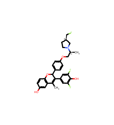 CC1=C(c2cc(F)c(O)c(F)c2)C(c2ccc(OC[C@H](C)N3CC[C@@H](CF)C3)cc2)Oc2ccc(O)cc21